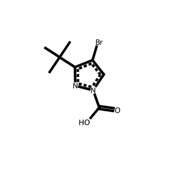 CC(C)(C)c1nn(C(=O)O)cc1Br